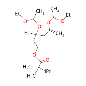 C=C(CC(CC)(CCOC(=O)C(C)(C)C(C)C)OC(C)OCC)OC(C)OCC